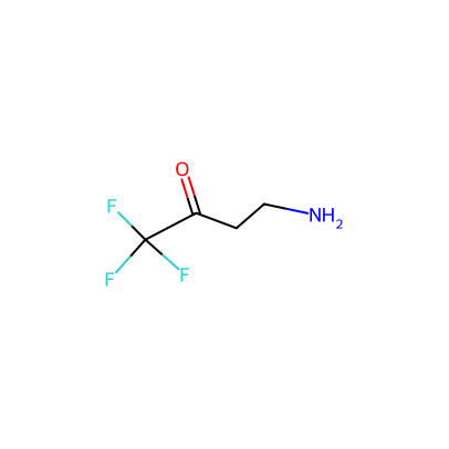 NCCC(=O)C(F)(F)F